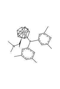 Cc1cc(C)cc(P(c2cc(C)cc(C)c2)[C]23[CH]4[CH]5[CH]6[C@]2(C(C)N(C)C)[Fe]54632789[CH]3[CH]2[CH]7[CH]8[CH]39)c1